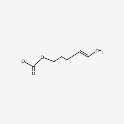 CC=CCCCOC([O])=O